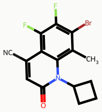 Cc1c(Br)c(F)c(F)c2c(C#N)cc(=O)n(C3CCC3)c12